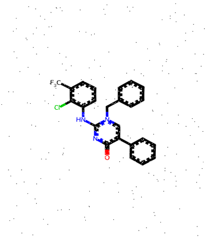 O=c1nc(Nc2cccc(C(F)(F)F)c2Cl)n(Cc2ccccc2)cc1-c1ccccc1